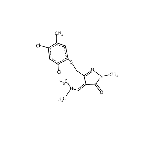 Cc1cc(SCC2=NN(C)C(=O)C2=CN(C)C)c(Cl)cc1Cl